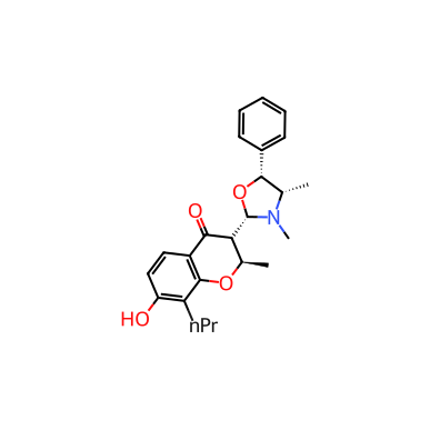 CCCc1c(O)ccc2c1O[C@H](C)C([C@@H]1O[C@H](c3ccccc3)[C@H](C)N1C)C2=O